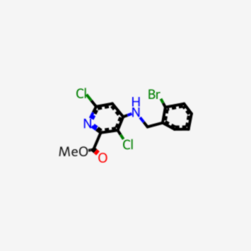 COC(=O)c1nc(Cl)cc(NCc2ccccc2Br)c1Cl